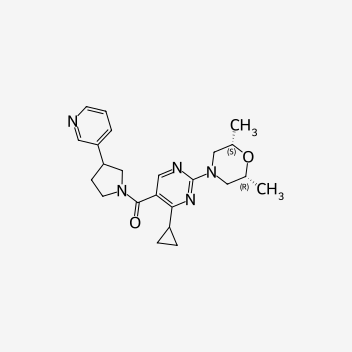 C[C@@H]1CN(c2ncc(C(=O)N3CCC(c4cccnc4)C3)c(C3CC3)n2)C[C@H](C)O1